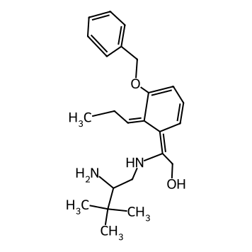 CC/C=c1\c(OCc2ccccc2)ccc\c1=C(/CO)NCC(N)C(C)(C)C